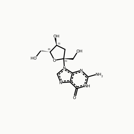 Nc1nc2c(ncn2[C@@]2(CO)C[C@H](O)[C@@H](CO)O2)c(=O)[nH]1